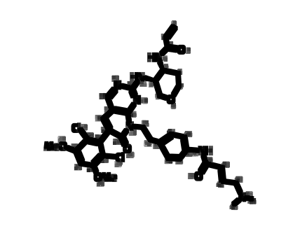 C=CC(=O)N[C@H]1CCOC[C@H]1Nc1ncc2cc(-c3c(Cl)c(OC)cc(OC)c3Cl)c(=O)n(CCc3ccc(NC(=O)/C=C/CN(C)C)cc3)c2n1